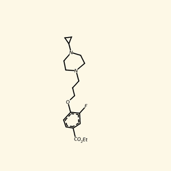 CCOC(=O)c1ccc(OCCCN2CCN(C3CC3)CC2)c(F)c1